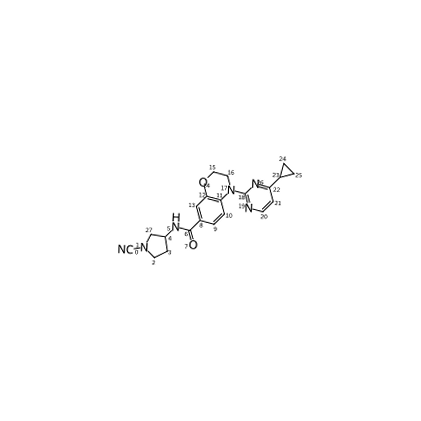 N#CN1CCC(NC(=O)c2ccc3c(c2)OCCN3c2nccc(C3CC3)n2)C1